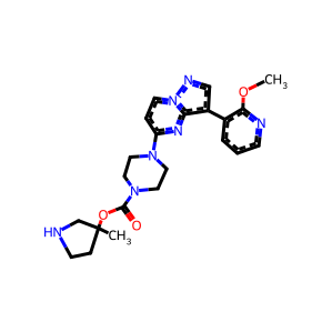 COc1ncccc1-c1cnn2ccc(N3CCN(C(=O)OC4(C)CCNC4)CC3)nc12